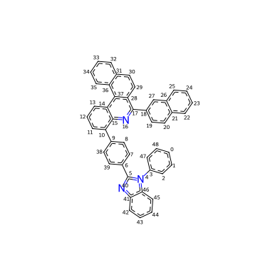 c1ccc(-n2c(-c3ccc(-c4cccc5c4nc(-c4ccc6ccccc6c4)c4ccc6ccccc6c45)cc3)nc3ccccc32)cc1